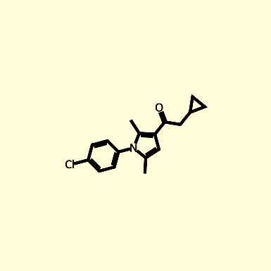 Cc1cc(C(=O)CC2CC2)c(C)n1-c1ccc(Cl)cc1